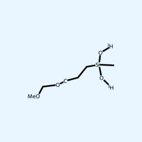 [3H]O[Si](C)(CCCOCOC)O[3H]